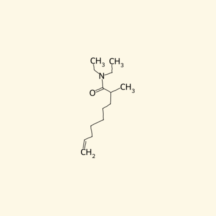 C=CCCCCCC(C)C(=O)N(CC)CC